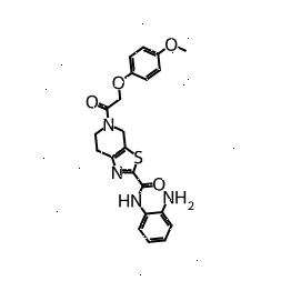 COc1ccc(OCC(=O)N2CCc3nc(C(=O)Nc4ccccc4N)sc3C2)cc1